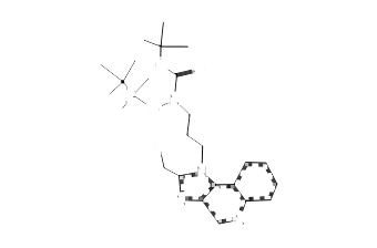 CC(C)(C)OC(=O)N(CCCn1c(CCl)nc2cnc3ccccc3c21)O[Si](C)(C)C(C)(C)C